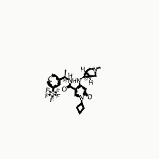 C[C@@H](NC(=O)c1cn(C2CCC2)c(=O)cc1N[C@H]1[C@@H]2CN(C)C[C@@H]21)c1cccc(S(F)(F)(F)(F)F)c1